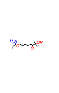 CCC(N)OCCCCCC(=O)C(C)(O)CC